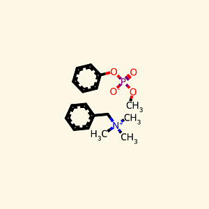 COP(=O)([O-])Oc1ccccc1.C[N+](C)(C)Cc1ccccc1